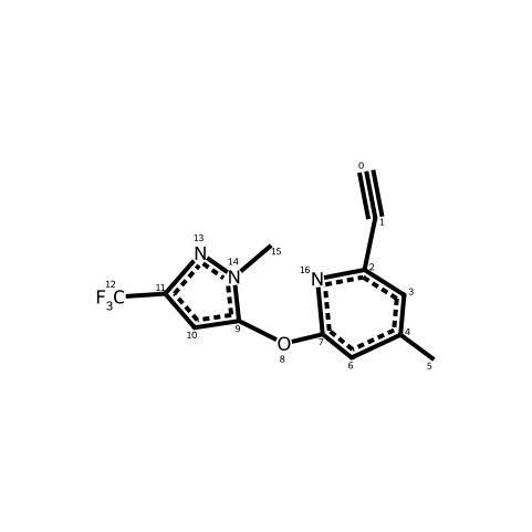 C#Cc1cc(C)cc(Oc2cc(C(F)(F)F)nn2C)n1